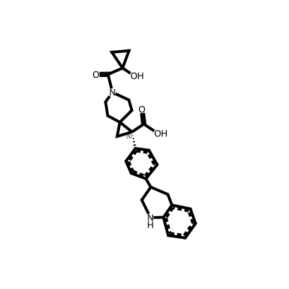 O=C(N1CCC2(CC1)C[C@@]2(C(=O)O)c1ccc(C2CNc3ccccc3C2)cc1)C1(O)CC1